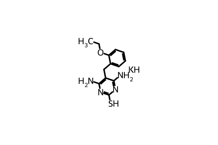 CCOc1ccccc1Cc1c(N)nc(S)nc1N.[KH]